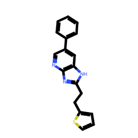 c1ccc(-c2cnc3nc(CCc4cccs4)[nH]c3c2)cc1